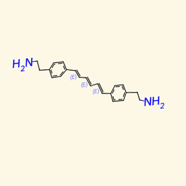 NCCc1ccc(/C=C/C=C/C=C/c2ccc(CCN)cc2)cc1